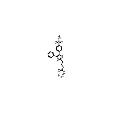 COC(=O)CCCc1nc(-c2ccc(S(C)(=O)=O)cc2)c(-c2ccccc2)o1